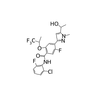 CC(O)c1cc(-c2cc(OC(C)C(F)(F)F)c(C(=O)Nc3c(F)cccc3Cl)cc2F)nn1C